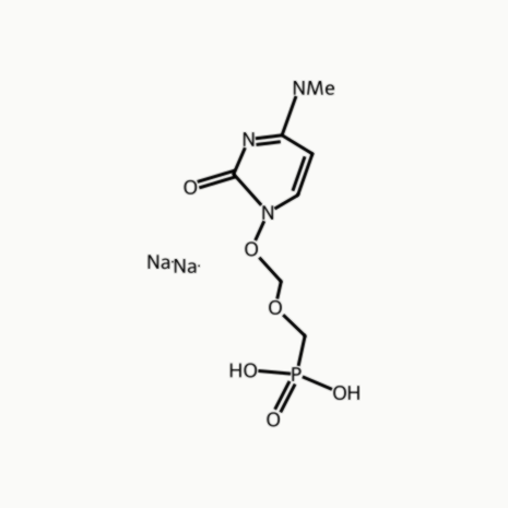 CNc1ccn(OCOCP(=O)(O)O)c(=O)n1.[Na].[Na]